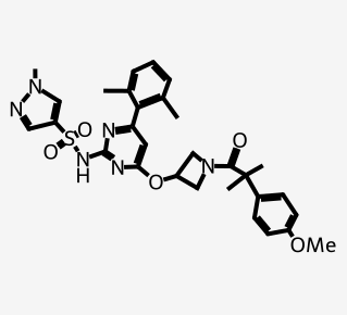 COc1ccc(C(C)(C)C(=O)N2CC(Oc3cc(-c4c(C)cccc4C)nc(NS(=O)(=O)c4cnn(C)c4)n3)C2)cc1